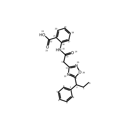 CCC(c1ccccc1)c1nc(CC(=O)Nc2ccccc2C(=O)O)no1